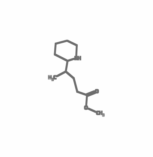 COC(=O)CCC(C)C1CCCCN1